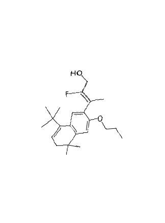 CCCOc1cc2c(cc1C(C)=C(F)CO)C(C(C)(C)C)=CCC2(C)C